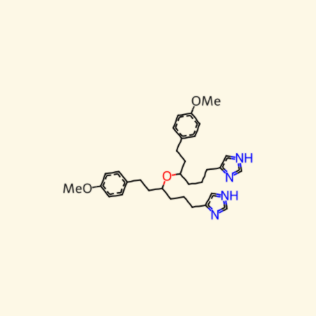 COc1ccc(CCC(CCCc2c[nH]cn2)OC(CCCc2c[nH]cn2)CCc2ccc(OC)cc2)cc1